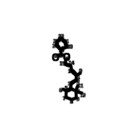 CC(C=CC1=C(C)CCCC1(C)C)=CC=COC(=O)c1ccccc1